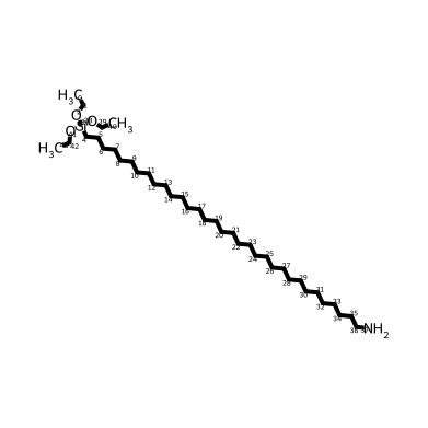 CCO[Si](CCCCCCCCCCCCCCCCCCCCCCCCCCCCCCCCCN)(OCC)OCC